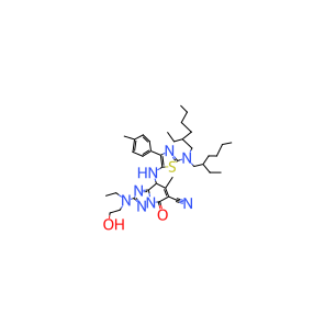 CCCCC(CC)CN(CC(CC)CCCC)c1nc(-c2ccc(C)cc2)c(NC2C(C)=C(C#N)C(=O)n3nc(N(CC)CCO)nc32)s1